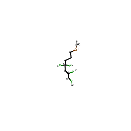 CC(=O)SCCCC(F)(F)CC(F)CF